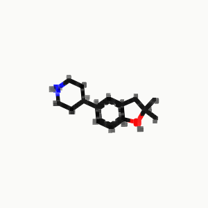 CC1(C)Cc2cc(C3CC[N]CC3)ccc2O1